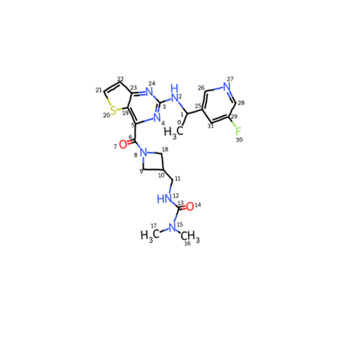 CC(Nc1nc(C(=O)N2CC(CNC(=O)N(C)C)C2)c2sccc2n1)c1cncc(F)c1